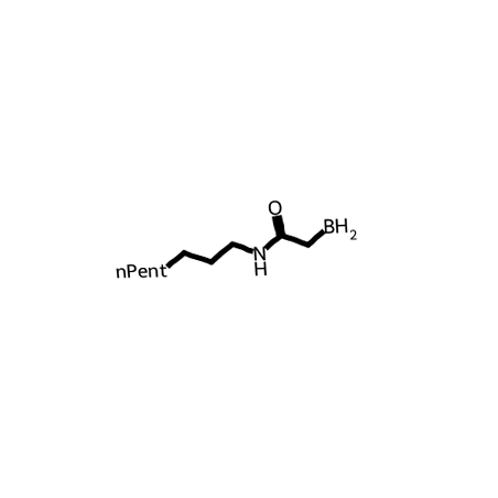 BCC(=O)NCCCCCCCC